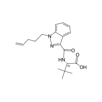 C=CCCCn1nc(C(=O)N[C@H](C(=O)O)C(C)(C)C)c2ccccc21